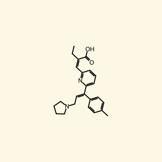 CCC(=Cc1cccc(C(=CCN2CCCC2)c2ccc(C)cc2)n1)C(=O)O